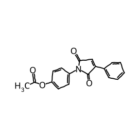 CC(=O)Oc1ccc(N2C(=O)C=C(c3ccccc3)C2=O)cc1